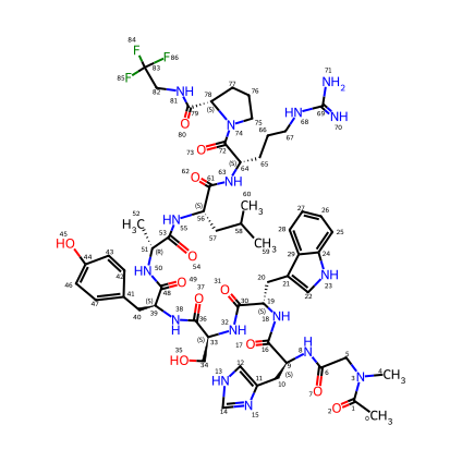 CC(=O)N(C)CC(=O)N[C@@H](Cc1c[nH]cn1)C(=O)N[C@@H](Cc1c[nH]c2ccccc12)C(=O)N[C@@H](CO)C(=O)N[C@@H](Cc1ccc(O)cc1)C(=O)N[C@H](C)C(=O)N[C@@H](CC(C)C)C(=O)N[C@@H](CCCNC(=N)N)C(=O)N1CCC[C@H]1C(=O)NCC(F)(F)F